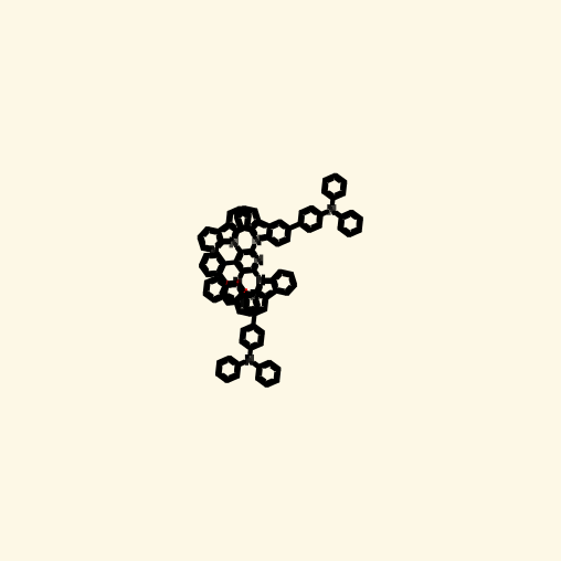 c1ccc(N(c2ccccc2)c2ccc(-c3ccc4c(c3)c3ccccc3n4-c3nc(-n4c5ccccc5c5cc(-c6ccc(N(c7ccccc7)c7ccccc7)cc6)ccc54)c(-n4c5ccccc5c5cccnc54)c(-c4ccccc4-c4ccncc4)c3-n3c4ccccc4c4cccnc43)cc2)cc1